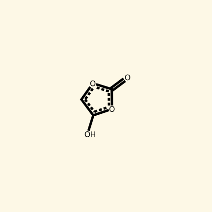 O=c1occ(O)o1